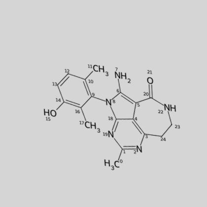 Cc1nc2c3c(c(N)n(-c4c(C)ccc(O)c4C)c3n1)C(=O)NCC2